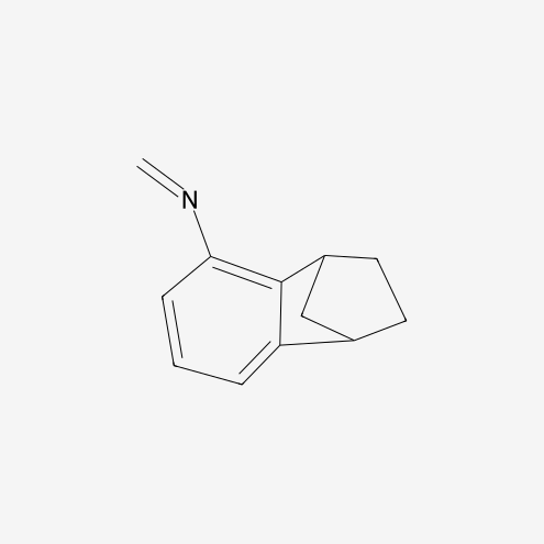 C=Nc1cccc2c1C1CCC2C1